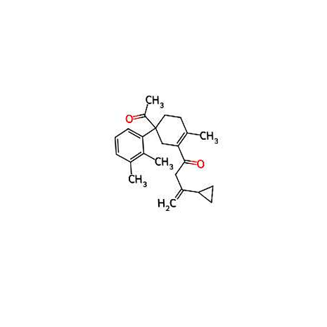 C=C(CC(=O)C1=C(C)CCC(C(C)=O)(c2cccc(C)c2C)C1)C1CC1